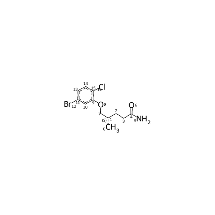 C[C@@H](CCC(N)=O)COc1cc(Br)ccc1Cl